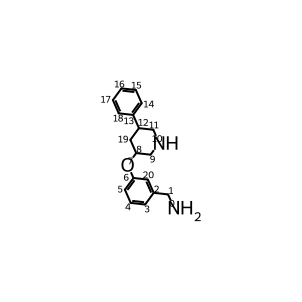 NCc1cccc(OC2CNCC(c3ccccc3)C2)c1